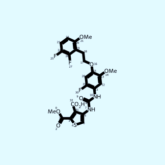 COC(=O)c1scc(NC(=O)Nc2cc(OC)c(OCCc3c(OC)ccc(F)c3F)cc2F)c1C(=O)O